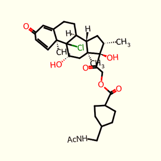 CC(=O)NCC1CCC(C(=O)OCC(=O)[C@@]2(O)[C@@H](C)C[C@H]3[C@@H]4CCC5=CC(=O)C=C[C@]5(C)C4(Cl)[C@@H](O)C[C@@]32C)CC1